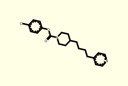 O=C(Oc1ccc(Cl)cc1)N1CCC(CCCCc2ccncc2)CC1